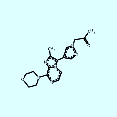 CC(=O)Cn1cc(-c2c(C)nc3c(N4CCOCC4)nccn23)cn1